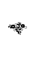 Cn1cnc(CC(C(=O)Nc2ccc3nn(C)cc3c2)N2CC(=O)N(c3cc(Cl)ccc3-n3cc(Cl)nn3)CC2=O)c1